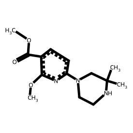 COC(=O)c1ccc(N2CCNC(C)(C)C2)nc1OC